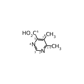 Cc1ncnc(C(=O)O)c1C